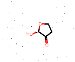 O=C1CCO[C@@H]1O